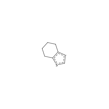 [c]1csc2c1CCCC2